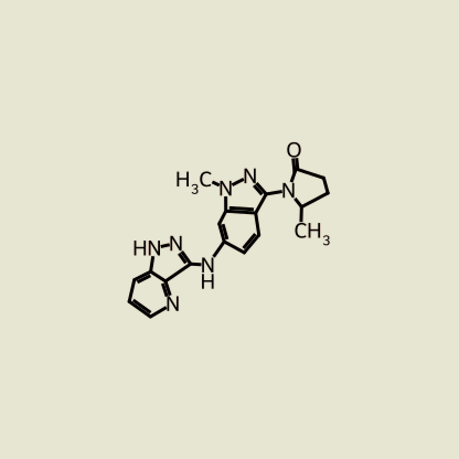 CC1CCC(=O)N1c1nn(C)c2cc(Nc3n[nH]c4cccnc34)ccc12